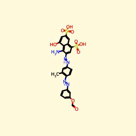 Cc1cc(/N=N/c2cc(S(=O)(=O)O)c3cc(S(=O)(=O)O)cc(O)c3c2N)ccc1/N=N/c1cccc(OC=O)c1